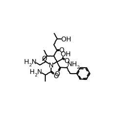 CC(O)CC(=O)C(C(C)C)C(C(=O)O)(C(=O)C(N)Cc1ccccc1)N(C(=O)CN)C(=O)C(C)N